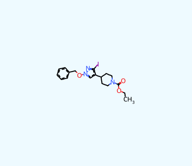 CCOC(=O)N1CCC(c2cn(OCc3ccccc3)nc2I)CC1